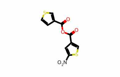 O=C(OC(=O)c1csc([N+](=O)[O-])c1)c1ccsc1